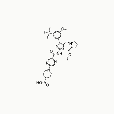 CCOC[C@@H]1CCCN1Cc1sc(NC(=O)c2cnc(N3CCC(C(=O)O)CC3)cn2)nc1-c1cc(OC)cc(C(F)(F)F)c1